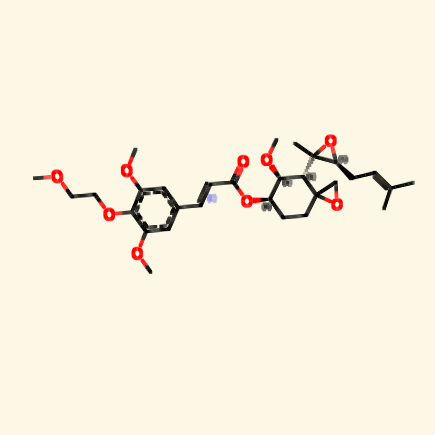 COCCOc1c(OC)cc(/C=C/C(=O)O[C@@H]2CCC3(CO3)[C@@H](C3(C)O[C@H]3CC=C(C)C)[C@@H]2OC)cc1OC